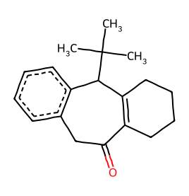 CC(C)(C)C1C2=C(CCCC2)C(=O)Cc2ccccc21